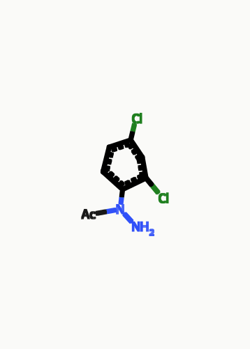 CC(=O)N(N)c1ccc(Cl)cc1Cl